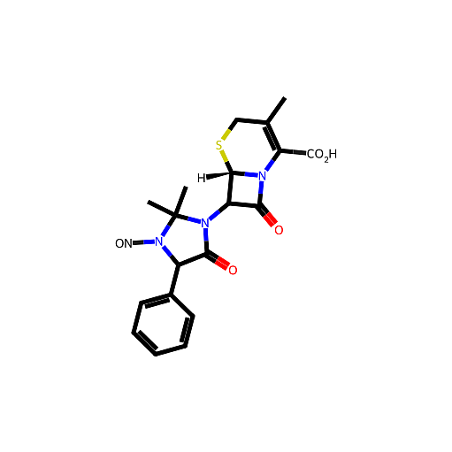 CC1=C(C(=O)O)N2C(=O)C(N3C(=O)C(c4ccccc4)N(N=O)C3(C)C)[C@@H]2SC1